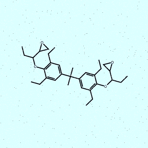 CCc1cc(C(C)(C)c2cc(CC)c(OC(CC)C3CO3)c(CC)c2)cc(CC)c1OC(CC)C1CO1